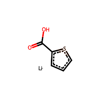 O=C(O)c1cccs1.[Li]